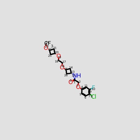 O=C(COc1ccc(Cl)c(F)c1)N[C@H]1C[C@H](OCCO[C@H]2C[C@@H](OC(F)(F)F)C2)C1